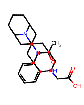 CC(=O)N(c1ccccc1NCC(=O)O)C1CC2CCCC(C1)N2C1CC2CCCC(C2)C1